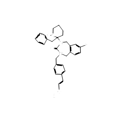 CCO/C=C/c1ccc(CN2Cc3ccc(F)cc3CN(C3(Cc4ccccc4)CCCCN3C(=O)O)C2=O)cc1